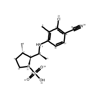 Cc1c(N[C@@H](C)[C@@H]2[C@@H](C)CCN2S(=O)(=O)O)ccc(C#N)c1Cl